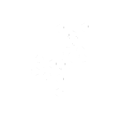 c1ccc(-c2ccc(N(c3ccc4c(c3)C(c3ccccc3)(c3ccccc3)c3ccccc3-4)c3cccc4c3sc3ccc5c(c34)c3c4ccccc4ccc3n5-c3nc(-c4ccccc4)cc(-c4ccccc4)n3)cc2)cc1